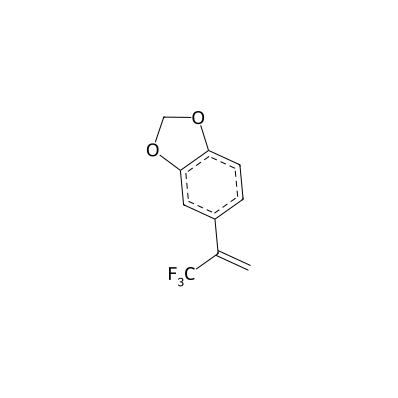 C=C(c1ccc2c(c1)OCO2)C(F)(F)F